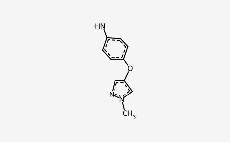 Cn1cc(Oc2ccc([NH])cc2)cn1